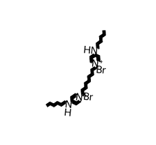 CCCCCCNc1cc[n+](C(Br)CCCCCCCC(Br)[n+]2ccc(NCCCCCC)cc2)cc1